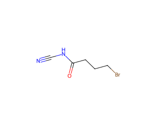 N#CNC(=O)CCCBr